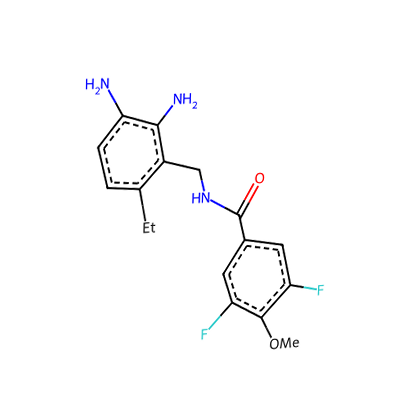 CCc1ccc(N)c(N)c1CNC(=O)c1cc(F)c(OC)c(F)c1